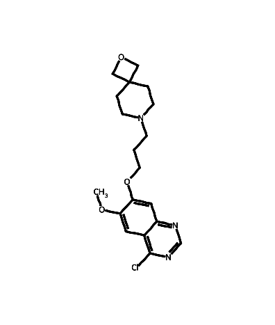 COc1cc2c(Cl)ncnc2cc1OCCCN1CCC2(CC1)COC2